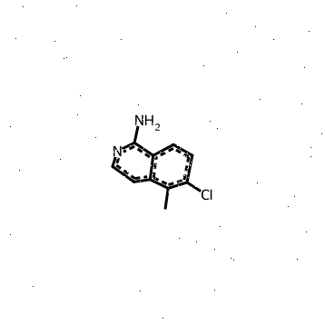 Cc1c(Cl)ccc2c(N)nccc12